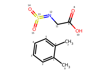 Cc1ccccc1C.O=C(O)CN=S(=O)=O